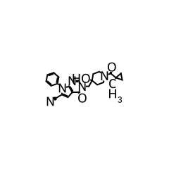 CC1(C(=O)N2CCC(O)(Cn3cnc4c(cc(C#N)n4-c4ccccc4)c3=O)CC2)CC1